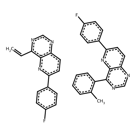 C=Cc1ncnc2ccc(-c3ccc(F)cc3)nc12.Cc1ccccc1-c1ncnc2ccc(-c3ccc(F)cc3)nc12